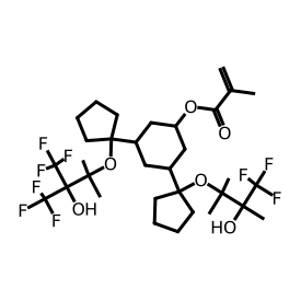 C=C(C)C(=O)OC1CC(C2(OC(C)(C)C(C)(O)C(F)(F)F)CCCC2)CC(C2(OC(C)(C)C(O)(C(F)(F)F)C(F)(F)F)CCCC2)C1